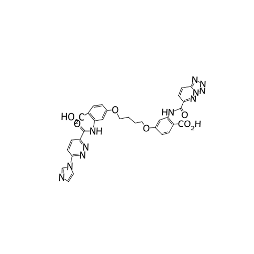 O=C(Nc1cc(OCCCCOc2ccc(C(=O)O)c(NC(=O)c3ccc4nnnn4n3)c2)ccc1C(=O)O)c1ccc(-n2ccnc2)nn1